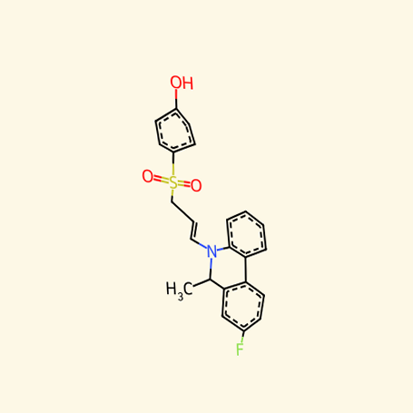 CC1c2cc(F)ccc2-c2ccccc2N1C=CCS(=O)(=O)c1ccc(O)cc1